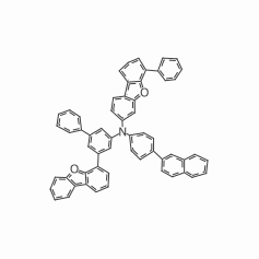 c1ccc(-c2cc(-c3cccc4c3oc3ccccc34)cc(N(c3ccc(-c4ccc5ccccc5c4)cc3)c3ccc4c(c3)oc3c(-c5ccccc5)cccc34)c2)cc1